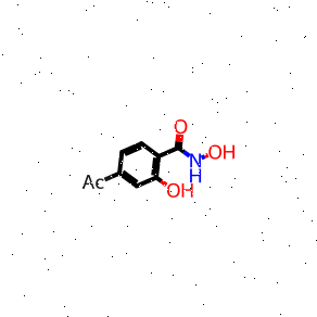 CC(=O)c1ccc(C(=O)NO)c(O)c1